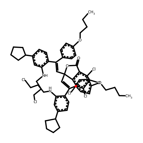 CCCCOc1ccc(/C(=C\C2(/C=C(\c3ccc(OCCCC)cc3)c3ccc(C4CCCC4)cc3NCCCCl)OC(=O)c3c(Cl)c(Cl)c(Cl)c(Cl)c32)c2ccc(C3CCCC3)cc2NCCCCl)cc1